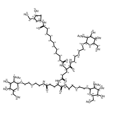 CC(=O)NC1C(OCCOCCNC(=O)CCC(NC(=O)CCC(NC(=O)CCCCCCCCCCC(=O)N[C@@H]2C[C@@H](CO)[C@H](O)C2)C(=O)NCCOCCOC2OC(CO)C(O)C(O)C2NC(C)=O)C(=O)NCCOCCOC2O[C@H](CO)C(O)C(O)C2NC(C)=O)OC(CO)C(O)C1O